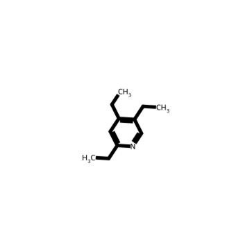 CCc1cc(CC)c(CC)cn1